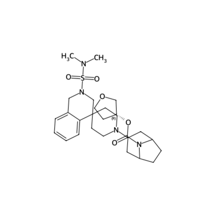 CN(C)S(=O)(=O)N1Cc2ccccc2C2(CCN(C3CC4CCC(C3)N4C(=O)O[C@@H]3CCOC3)CC2)C1